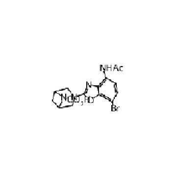 CC(=O)Nc1ccc(Br)c2oc(N3CC4CC(C3)N4C(=O)O)nc12